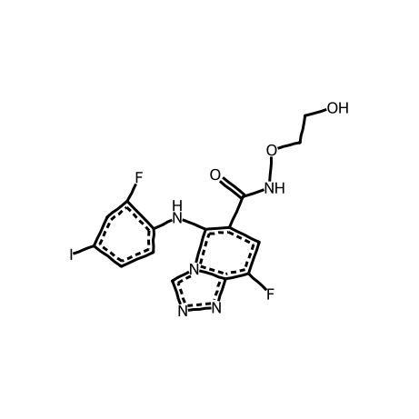 O=C(NOCCO)c1cc(F)c2nncn2c1Nc1ccc(I)cc1F